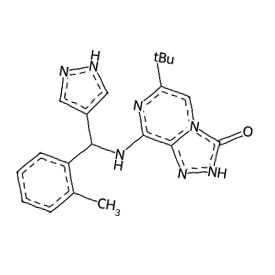 Cc1ccccc1C(Nc1nc(C(C)(C)C)cn2c(=O)[nH]nc12)c1cn[nH]c1